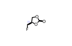 O=C1OC/C(=C/F)O1